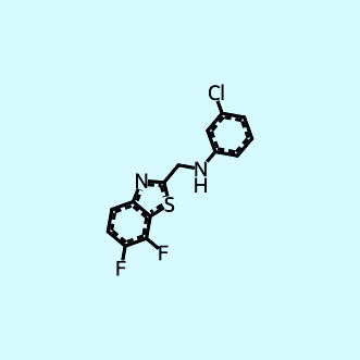 Fc1ccc2nc(CNc3cccc(Cl)c3)sc2c1F